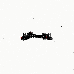 COc1cccc(Oc2ccc(-c3nn(C4CC5CN(C6CN(C7CN(c8cnc(C(=O)NC9CCC(=O)NC9=O)c9c8OCO9)C7)C6)CC5C4)c4ncnc(N)c34)cc2)c1F